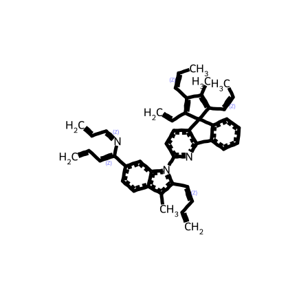 C=C/C=C\c1c(C)c2ccc(C(=C/C=C)/N=C\C=C)cc2n1-c1ccc2c(n1)-c1ccccc1C21C(C=C)=C(/C=C\C)C(C)=C1/C=C\C